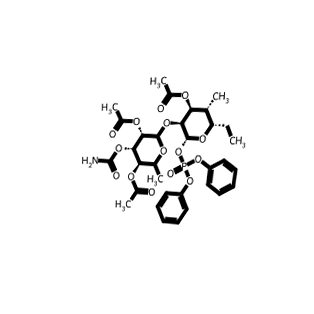 CC[C@@H]1O[C@H](OP(=O)(Oc2ccccc2)Oc2ccccc2)[C@@H](OC2OC(C)[C@@H](OC(C)=O)[C@H](OC(N)=O)[C@@H]2OC(C)=O)[C@@H](OC(C)=O)[C@@H]1C